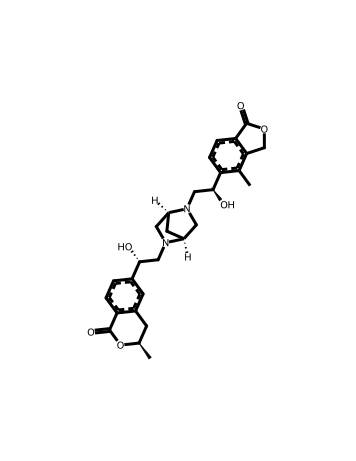 Cc1c([C@@H](O)CN2C[C@@H]3C[C@H]2CN3C[C@@H](O)c2ccc3c(c2)C[C@@H](C)OC3=O)ccc2c1COC2=O